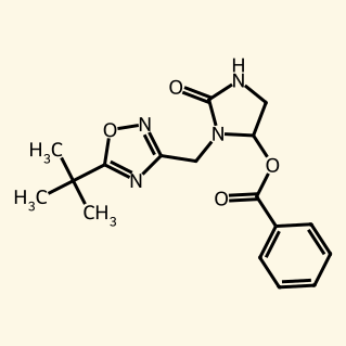 CC(C)(C)c1nc(CN2C(=O)NCC2OC(=O)c2ccccc2)no1